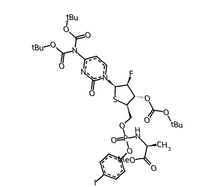 COC(=O)[C@H](C)NP(=O)(OC[C@H]1S[C@@H](n2ccc(N(C(=O)OC(C)(C)C)C(=O)OC(C)(C)C)nc2=O)[C@@H](F)[C@@H]1OC(=O)OC(C)(C)C)Oc1ccc(I)cc1